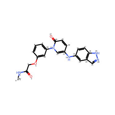 CC(C)NC(=O)COc1cccc(-n2cc(Nc3ccc4[nH]ncc4c3)ccc2=O)c1